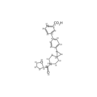 O=C(O)c1cc(-c2ccc(C3CC34CCN(C(=O)[C@H]3CCCO3)CC4)cc2)ccn1